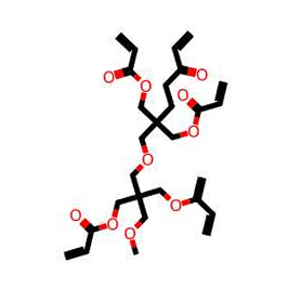 C=CC(=C)OCC(COC)(COCC(CCC(=O)C=C)(COC(=O)C=C)COC(=O)C=C)COC(=O)C=C